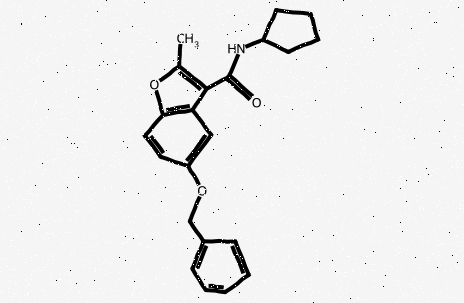 Cc1oc2ccc(OCc3ccccc3)cc2c1C(=O)NC1CCCC1